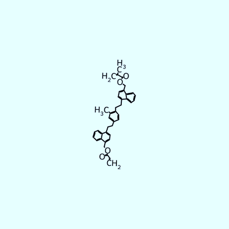 C=CC(=O)OCc1ccc(CCc2ccc(CCc3ccc(COC(=O)C(=C)C)c4ccccc34)c(C)c2)c2ccccc12